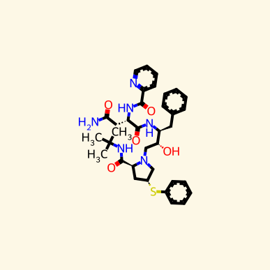 CC(C)(C)NC(=O)[C@@H]1C[C@@H](Sc2ccccc2)CN1C[C@@H](O)[C@H](Cc1ccccc1)NC(=O)[C@H](CC(N)=O)NC(=O)c1ccccn1